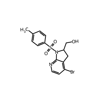 Cc1ccc(S(=O)(=O)N2c3nccc(Br)c3CC2CO)cc1